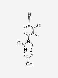 Cc1c(N2CC3=C[C@@H](O)CN3C2=O)ccc(C#N)c1Cl